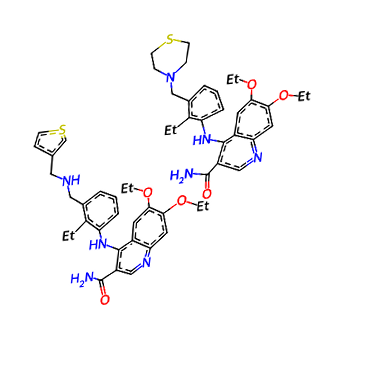 CCOc1cc2ncc(C(N)=O)c(Nc3cccc(CN4CCSCC4)c3CC)c2cc1OCC.CCOc1cc2ncc(C(N)=O)c(Nc3cccc(CNCc4ccsc4)c3CC)c2cc1OCC